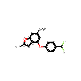 CCOC(=O)c1cc(Oc2ccc(C(F)F)cc2)c2cc(C=O)oc2c1